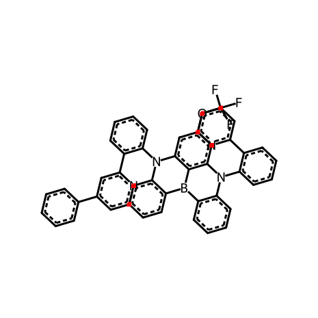 FC(F)(F)Oc1cc2c3c(c1)N(c1ccccc1-c1cc(-c4ccccc4)ccn1)c1ccccc1B3c1ccccc1N2c1ccccc1-c1ccccn1